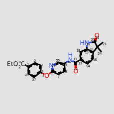 CCOC(=O)c1ccc(Oc2ccc(NC(=O)c3ccc4c(c3)NC(=O)C4(C)C)cn2)cc1